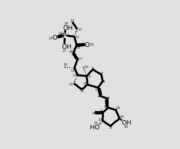 C=C1/C(=C\C=C2/CCC[C@@]3(C)C2CC[C@@H]3[C@H](C)/C=C/C(=O)[C@@H](CC)P(=O)(O)O)C[C@@H](O)C[C@@H]1O